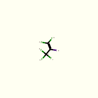 FC(F)=C(I)C(F)(F)F